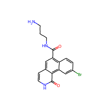 NCCCNC(=O)c1cc2cc[nH]c(=O)c2c2cc(Br)ccc12